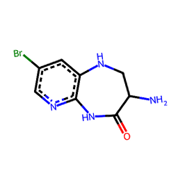 NC1CNc2cc(Br)cnc2NC1=O